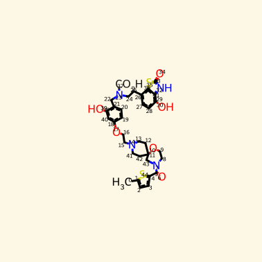 Cc1ccc(C(=O)N2CCOC3(CCN(CCOc4ccc(CN(CCc5ccc(O)c6[nH]c(=O)sc56)C(=O)O)c(O)c4)CC3)C2)s1